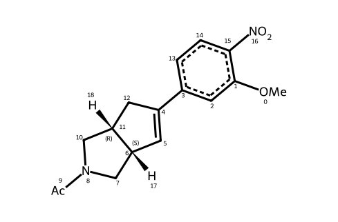 COc1cc(C2=C[C@@H]3CN(C(C)=O)C[C@@H]3C2)ccc1[N+](=O)[O-]